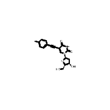 O=c1[nH]c(=O)n([C@H]2C[C@@H](O)[C@@H](CO)O2)cc1C#Cc1ccc(I)cc1